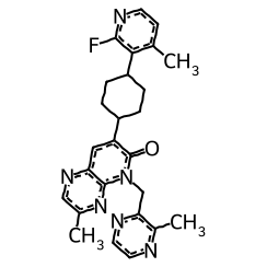 Cc1cnc2cc(C3CCC(c4c(C)ccnc4F)CC3)c(=O)n(Cc3nccnc3C)c2n1